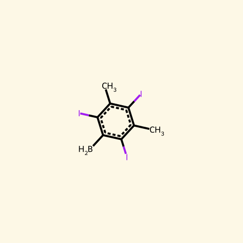 Bc1c(I)c(C)c(I)c(C)c1I